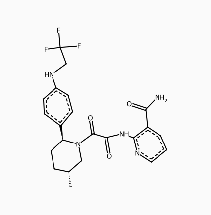 C[C@@H]1CC[C@@H](c2ccc(NCC(F)(F)F)cc2)N(C(=O)C(=O)Nc2ncccc2C(N)=O)C1